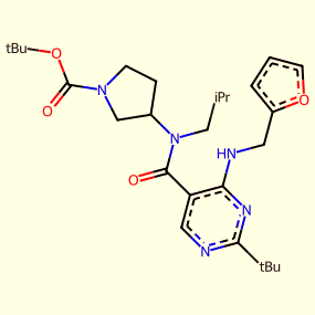 CC(C)CN(C(=O)c1cnc(C(C)(C)C)nc1NCc1ccco1)C1CCN(C(=O)OC(C)(C)C)C1